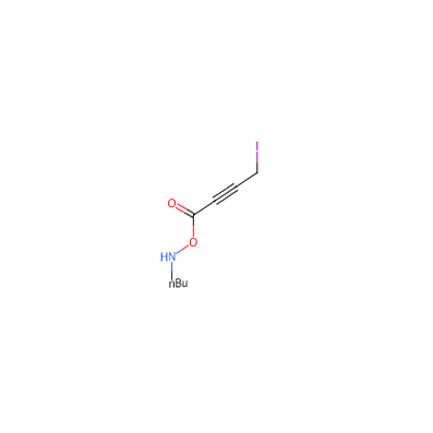 CCCCNOC(=O)C#CCI